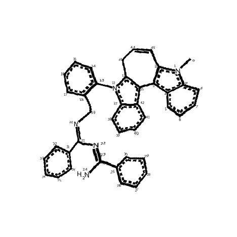 Cn1c2c(c3ccccc31)-c1c(n(-c3ccccc3C/N=C(\N=C(/N)c3ccccc3)c3ccccc3)c3ccccc13)CC=C2